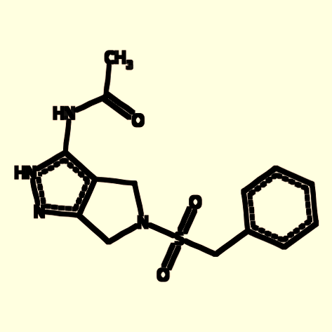 CC(=O)Nc1[nH]nc2c1CN(S(=O)(=O)Cc1ccccc1)C2